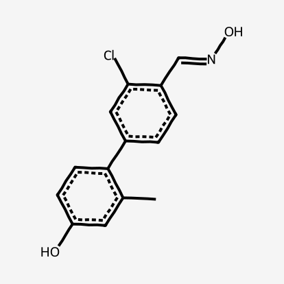 Cc1cc(O)ccc1-c1ccc(C=NO)c(Cl)c1